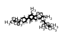 Cc1cc(C2CCN(C(=O)OC(C)(C)C)CC2)c(F)c2c1C(=O)N([C@@H](CCC(=O)OC(C)(C)C)C(N)=O)C2